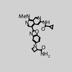 CNc1ncc(-c2nc3cc(N4CCC4C(N)=O)ccc3o2)c2cc(NC(=O)C3CC3)ncc12